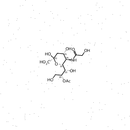 CC(=O)O[C@H](CO)[C@@H](O)[C@@H]1O[C@](O)(C(=O)O)C[C@H](O)[C@H]1NC(=O)CO